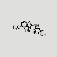 CC(C)(C)n1c(NC(=O)C[C@](C)(O)C(C)(C)C)nc2ccc(C(F)(F)F)nc21